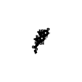 CCOC(=O)C#C[C@]1(O)[C@H]2C[C@H]2C2C3C(CCC21C)[C@@]1(C)CCC(=O)C[C@@]1(O)[C@@H]1C[C@H]31